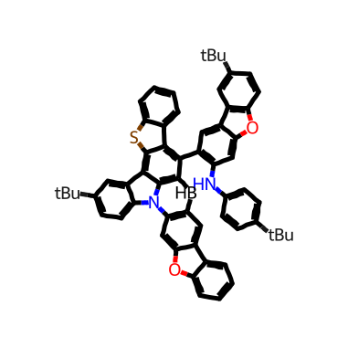 CC(C)(C)c1ccc(Nc2cc3oc4ccc(C(C)(C)C)cc4c3cc2-c2c3c4c(c5cc(C(C)(C)C)ccc5n4-c4cc5oc6ccccc6c5cc4B3)c3sc4ccccc4c23)cc1